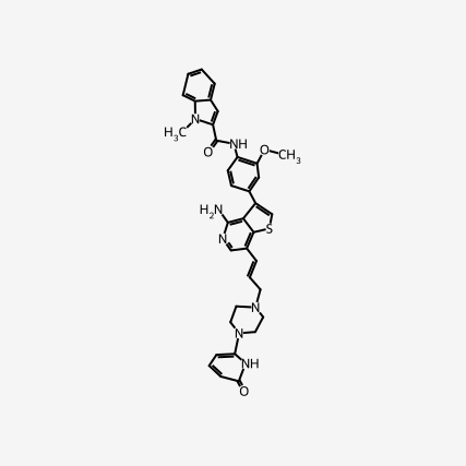 COc1cc(-c2csc3c(C=CCN4CCN(c5cccc(=O)[nH]5)CC4)cnc(N)c23)ccc1NC(=O)c1cc2ccccc2n1C